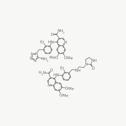 CCc1c(CNCCN2CCNC2=O)cccc1Nc1c(C(N)=O)cnc2cc(OC)c(OC)cc12.CCc1c(Cn2nnnc2N)cccc1Nc1c(C(N)=O)cnc2cc(OC)c(OC)cc12